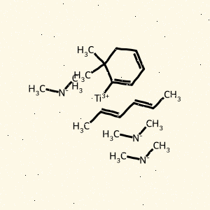 CC1(C)CC=CC=[C]1[Ti+3].CC=CC=CC.C[N-]C.C[N-]C.C[N-]C